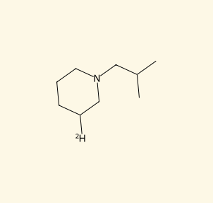 [2H]C1CCCN(CC(C)C)C1